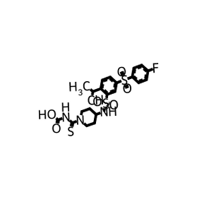 CC(C)c1ccc(S(=O)(=O)c2ccc(F)cc2)cc1S(=O)(=O)NC1CCN(C(=S)NC(=O)O)CC1